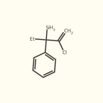 C=C(Cl)C([SiH3])(CC)c1ccccc1